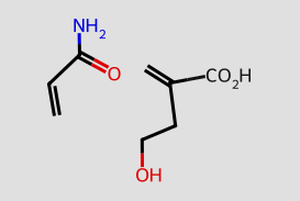 C=C(CCO)C(=O)O.C=CC(N)=O